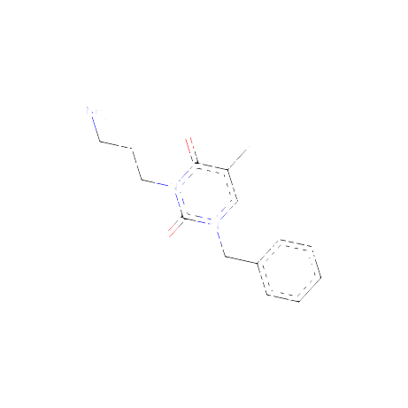 Cc1cn(Cc2ccccc2)c(=O)n(CCCN)c1=O